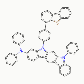 c1ccc(N(c2ccccc2)c2ccc3c4cc5c6ccccc6n(-c6ccccc6)c5cc4n(-c4ccc(-c5cccc6c5sc5ccccc56)cc4)c3c2)cc1